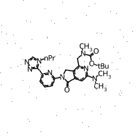 CCCn1cnnc1-c1cccc(N2Cc3c(cc(N(C)C)nc3CN(C)C(=O)OC(C)(C)C)C2=O)n1